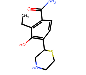 CCc1c(C(N)=O)ccc(C2CNCCS2)c1O